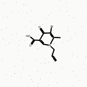 C=CCn1cc(C(=O)O)c(=O)c(Br)c1C